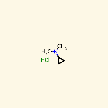 CN(C)C1CC1.Cl